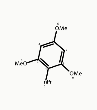 C[CH]Cc1c(OC)cc(OC)cc1OC